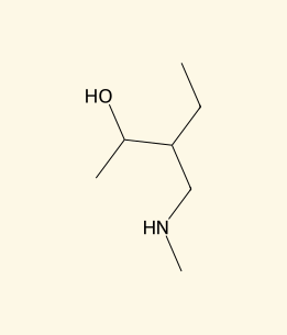 CCC(CNC)C(C)O